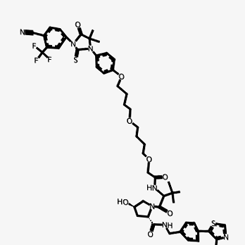 Cc1ncsc1-c1ccc(CNC(=O)[C@@H]2C[C@@H](O)CN2C(=O)C(NC(=O)COCCCCOCCCCOc2ccc(N3C(=S)N(c4ccc(C#N)c(C(F)(F)F)c4)C(=O)C3(C)C)cc2)C(C)(C)C)cc1